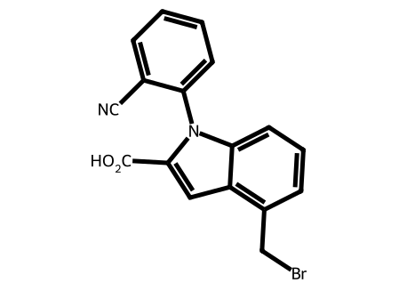 N#Cc1ccccc1-n1c(C(=O)O)cc2c(CBr)cccc21